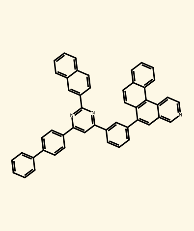 c1ccc(-c2ccc(-c3cc(-c4cccc(-c5cc6cnccc6c6c5ccc5ccccc56)c4)nc(-c4ccc5ccccc5c4)n3)cc2)cc1